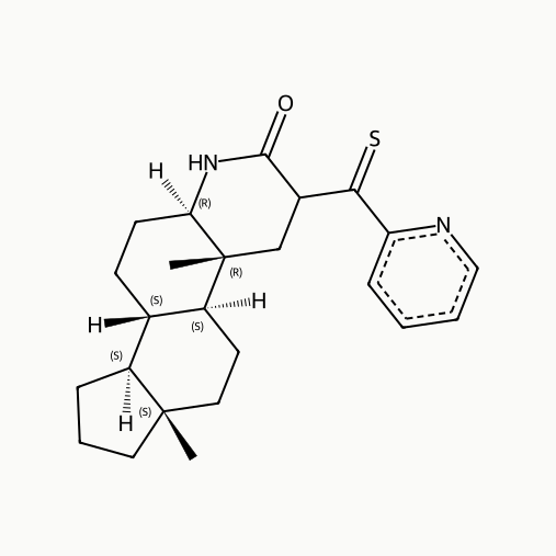 C[C@@]12CCC[C@H]1[C@@H]1CC[C@H]3NC(=O)C(C(=S)c4ccccn4)C[C@]3(C)[C@H]1CC2